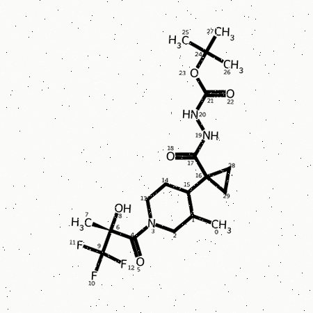 CC1CN(C(=O)[C@@](C)(O)C(F)(F)F)CCC1C1(C(=O)NNC(=O)OC(C)(C)C)CC1